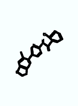 Cc1cc2c(cc1-c1ccc(NC(=O)c3ccccc3Cl)nc1)CCO2